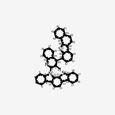 Ic1c(-n2c3ccccc3c3ccc4c5ccccc5sc4c32)nc2ccccc2c1-c1cccc2c1sc1c3ccccc3ccc21